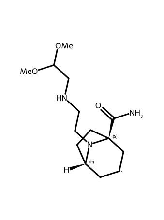 COC(CNCCN1[C@@H]2C[CH]C[C@@]1(C(N)=O)CC2)OC